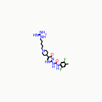 Cc1cc(F)c(NC(=O)Nc2nc(=O)c(C3CCN(CCCCCNC(=N)N)CC3)c[nH]2)cc1F